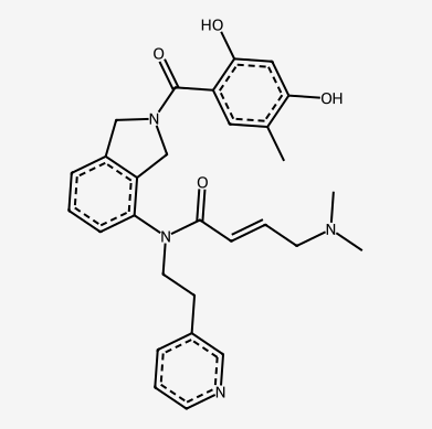 Cc1cc(C(=O)N2Cc3cccc(N(CCc4cccnc4)C(=O)/C=C/CN(C)C)c3C2)c(O)cc1O